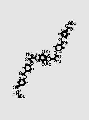 CCCCNOC(=O)c1ccc(OC(=O)C2CCC(OC(=O)C(C#N)=C3Sc4c(OC(C)=O)c5c(c(OC(C)=O)c4S3)SC(=C(C#N)C(=O)OC3CCC(C(=O)Oc4ccc(C(=O)OCCCC)cc4)CC3)S5)CC2)cc1